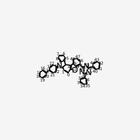 C1=CC2C(c3ccccc3N2c2ccc(-c3ccccc3)cc2)c2c1oc1c(-c3nc(-c4ccccc4)nc(-c4ccccc4)n3)cccc21